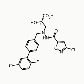 O=C(NN(Cc1ccc(-c2cc(Cl)ccc2F)cc1)C[C@@H](O)C(=O)O)c1cc(Cl)no1